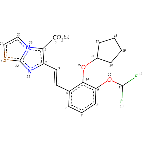 CCOC(=O)c1c(C=Cc2cccc(OC(F)F)c2OC2CCCC2)nc2sccn12